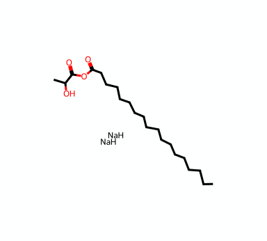 CCCCCCCCCCCCCCCCCC(=O)OC(=O)C(C)O.[NaH].[NaH]